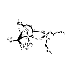 CCOP(=O)(OCC)OC(CCO)O[Si](C)(C)C(C)(C)C